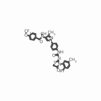 Cc1ccc(C(C)C)c(N2C(=O)CS/C2=N\C(=O)Nc2ccc(-n3cc(N(C)C(=O)c4ccc(OC(F)(F)F)cc4)c(C)n3)cc2)c1